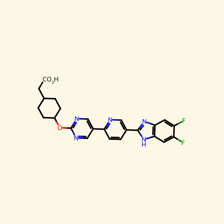 O=C(O)CC1CCC(Oc2ncc(-c3ccc(-c4nc5cc(F)c(F)cc5[nH]4)cn3)cn2)CC1